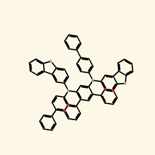 c1ccc(-c2ccc(N(c3ccc4sc5ccccc5c4c3)c3cc(N(c4ccc(-c5ccccc5)cc4)c4ccc5sc6ccccc6c5c4)c(-c4ccccc4)cc3-c3ccccc3)cc2)cc1